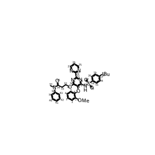 COc1ccccc1Oc1c(NS(=O)(=O)c2ccc(C(C)(C)C)cc2)nc(-c2ncccn2)nc1OCCC(=O)N(C)c1ccccc1